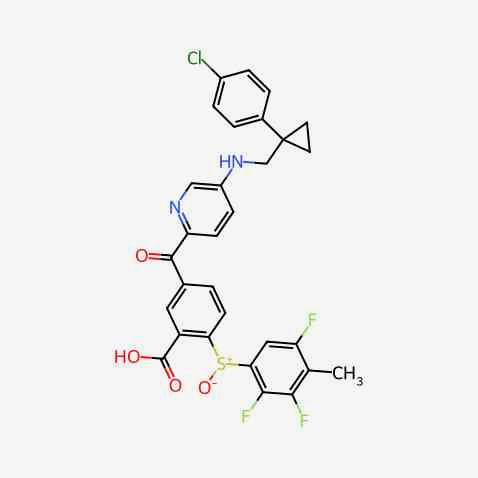 Cc1c(F)cc([S+]([O-])c2ccc(C(=O)c3ccc(NCC4(c5ccc(Cl)cc5)CC4)cn3)cc2C(=O)O)c(F)c1F